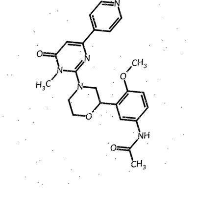 COc1ccc(NC(C)=O)cc1C1CN(c2nc(-c3ccncc3)cc(=O)n2C)CCO1